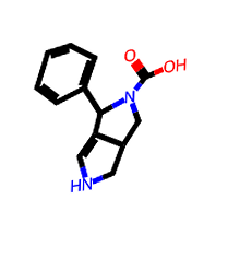 O=C(O)N1CC2CNC=C2C1c1ccccc1